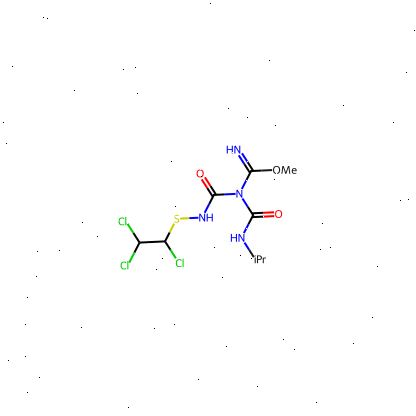 COC(=N)N(C(=O)NSC(Cl)C(Cl)Cl)C(=O)NC(C)C